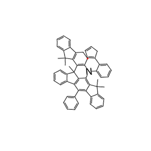 CC1(C)C2=C(CCC3=C2C2(C)c4ccccc4-c4c(-c5ccccc5)c5c(c(c42)N3c2ccccc2C2=CC=CC2)C(C)(C)c2ccccc2-5)c2ccccc21